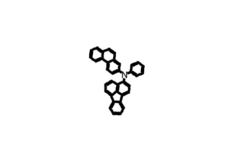 c1ccc(N(c2ccc3c(ccc4ccccc43)c2)c2ccc3c4c(cccc24)-c2ccccc2-3)cc1